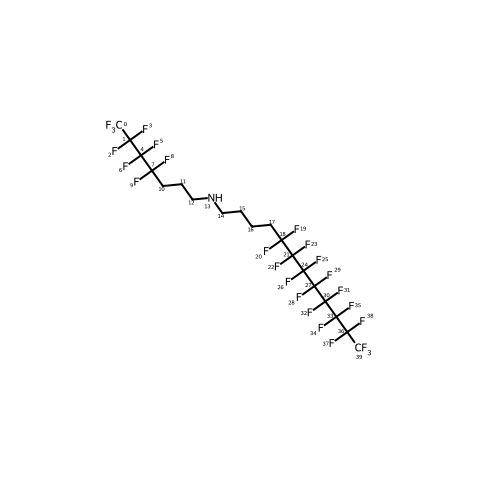 FC(F)(F)C(F)(F)C(F)(F)C(F)(F)CCCNCCCCC(F)(F)C(F)(F)C(F)(F)C(F)(F)C(F)(F)C(F)(F)C(F)(F)C(F)(F)F